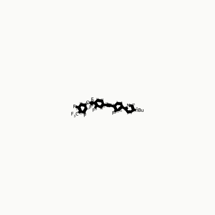 CCCCc1ccc(-c2ccc(C#Cc3ccc(C(F)(F)Oc4cc(F)c(C(F)(F)F)c(F)c4)c(F)c3)c(F)c2)nc1